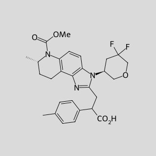 COC(=O)N1c2ccc3c(nc(CC(C(=O)O)c4ccc(C)cc4)n3[C@@H]3COCC(F)(F)C3)c2CC[C@@H]1C